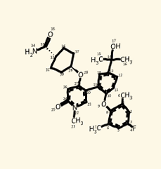 Cc1cc(F)cc(C)c1Oc1ccc(C(C)(C)O)cc1-c1cn(C)c(=O)cc1O[C@H]1CC[C@H](C(N)=O)CC1